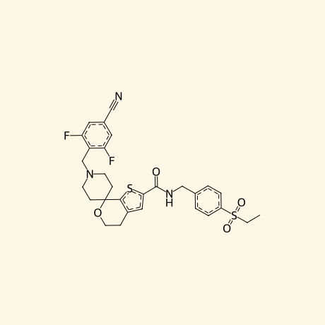 CCS(=O)(=O)c1ccc(CNC(=O)c2cc3c(s2)C2(CCN(Cc4c(F)cc(C#N)cc4F)CC2)OCC3)cc1